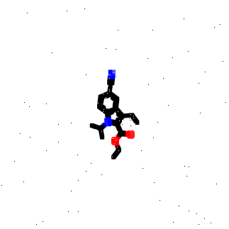 CCOC(=O)c1c(CC)c2cc(C#N)ccc2n1C(C)C